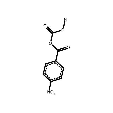 [N]OC(=O)OC(=O)c1ccc([N+](=O)[O-])cc1